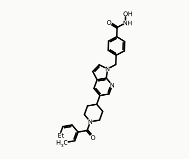 C/C=C(\C=C/CC)C(=O)N1CCC(c2cnc3c(ccn3Cc3ccc(C(=O)NO)cc3)c2)CC1